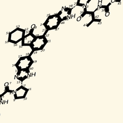 COC(=O)N[C@H](C(=O)N1CCC[C@H]1c1nc2ccc(-c3ccc(-c4ccc5nc([C@@H]6CCCN6C(=O)[C@@H](NC(=O)OC)C(C)C)[nH]c5c4)c4c3CC3(CCCCC3)C4=O)cc2[nH]1)C(C)C